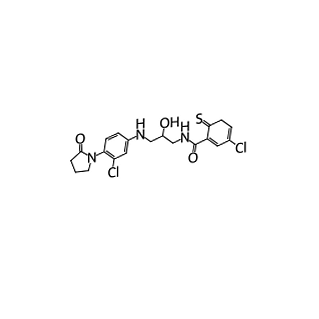 O=C(NCC(O)CNc1ccc(N2CCCC2=O)c(Cl)c1)C1=CC(Cl)=CCC1=S